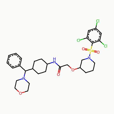 O=C(COC1CCCN(S(=O)(=O)c2c(Cl)cc(Cl)cc2Cl)C1)NC1CCC(C(c2ccccc2)N2CCOCC2)CC1